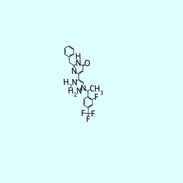 CC(c1ccc(C(F)(F)F)cc1F)N(N)/C=C(\N)c1cc(=O)[nH]c(Cc2ccccc2)n1